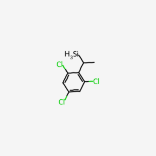 CC([SiH3])c1c(Cl)cc(Cl)cc1Cl